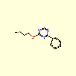 CCCCOc1n[c]nc(-c2ccccc2)n1